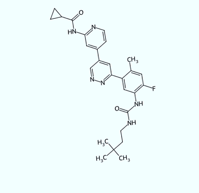 Cc1cc(F)c(NC(=O)NCCC(C)(C)C)cc1-c1cc(-c2ccnc(NC(=O)C3CC3)c2)cnn1